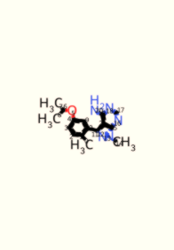 Cc1ccc(OC(C)C)cc1-c1nn(C)c2ncnc(N)c12